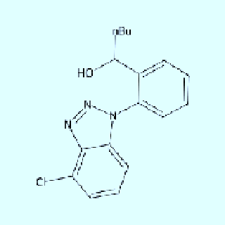 CCCCC(O)c1ccccc1-n1nnc2c(Cl)cccc21